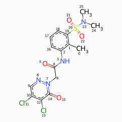 Cc1c(NC(=O)Cn2ncc(Cl)c(Cl)c2=O)cccc1S(=O)(=O)N(C)C